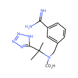 CC(C)(c1nnn[nH]1)N(Cc1cccc(C(=N)N)c1)C(=O)O